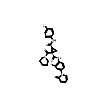 O=C(Nc1ccc(Cl)cc1)[C@H]1C[C@]1(C(=O)Nc1ccc(-n2ccccc2=O)cc1F)C(=O)N1CCCCC1